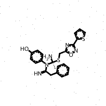 C[C@](N)(SCc1nc(-c2cccs2)no1)N(C(=N)Cc1ccccc1)c1ccc(O)cc1